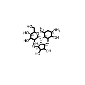 CC[C@H]1O[C@@H](OC2C(O)[C@H](N)CC(N)[C@@H]2O[C@H]2OC(CO)[C@@H](O)C(O)C2N)C(O)C1O